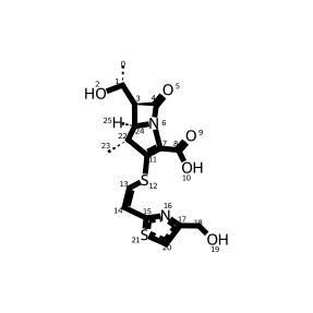 C[C@@H](O)[C@H]1C(=O)N2C(C(=O)O)=C(S/C=C\c3nc(CO)cs3)[C@H](C)[C@@H]12